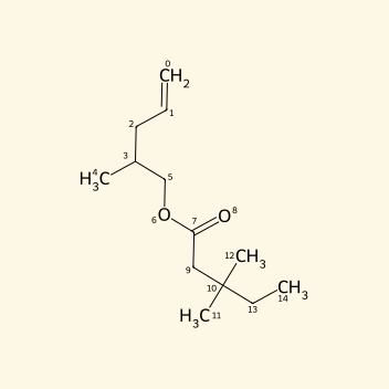 C=CCC(C)COC(=O)CC(C)(C)CC